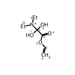 C=COC(=O)C(O)(O)N(CC)CC